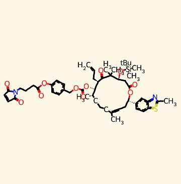 C=CC[C@H]1C(=O)C(C)(C)[C@@H](O[Si](C)(C)C(C)(C)C)CC(=O)O[C@H](c2ccc3sc(C)nc3c2)C/C=C(/C)CCC[C@H](C)[C@@H]1OC(=O)OCc1ccc(OC(=O)CCCN2C(=O)C=CC2=O)cc1